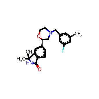 CC1(C)NC(=O)c2ccc([C@@H]3CN(Cc4cc(F)cc(C(F)(F)F)c4)CCO3)cc21